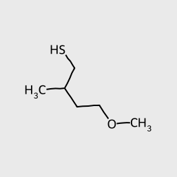 COCCC(C)CS